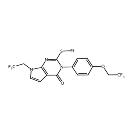 CCSc1nc2c(ccn2CC(F)(F)F)c(=O)n1-c1ccc(OCC(F)(F)F)cc1